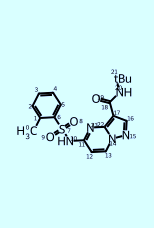 Cc1ccccc1S(=O)(=O)Nc1ccn2ncc(C(=O)NC(C)(C)C)c2n1